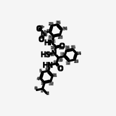 CC(C)c1ccc(NC(=O)C(c2ccccc2)N(S)C(=O)Nc2ccccc2[N+](=O)[O-])cc1